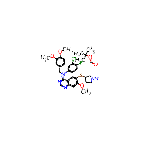 CC(C)(C)OC=O.COc1ccc(CN(c2ccc(F)c(Cl)c2)c2ncnc3cc(OC)c(SC4CCNC4)cc23)cc1OC